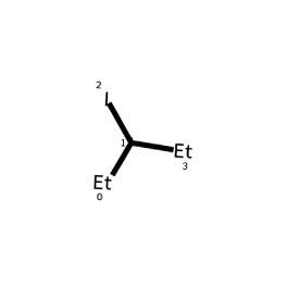 CC[C](I)CC